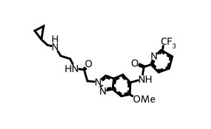 COc1cc2nn(CC(=O)NCCNCC3CC3)cc2cc1NC(=O)c1cccc(C(F)(F)F)n1